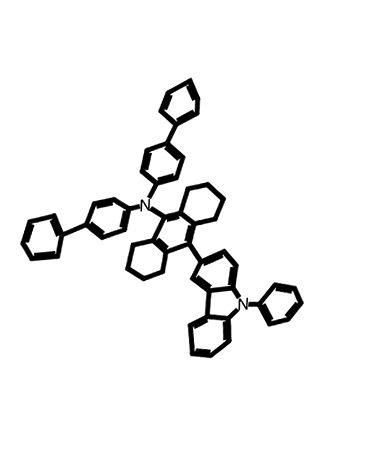 c1ccc(-c2ccc(N(c3ccc(-c4ccccc4)cc3)c3c4c(c(-c5ccc6c(c5)c5ccccc5n6-c5ccccc5)c5c3CCCC5)CCCC4)cc2)cc1